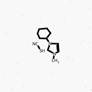 CN1C=CN(C2CCCCC2)C1.N#CS